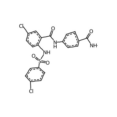 [NH]C(=O)c1ccc(NC(=O)c2cc(Cl)ccc2NS(=O)(=O)c2ccc(Cl)cc2)cc1